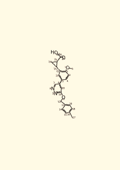 COc1ccc(-c2cnnc(OCc3ccc(C)cc3)c2)cc1C1CC1C(=O)O